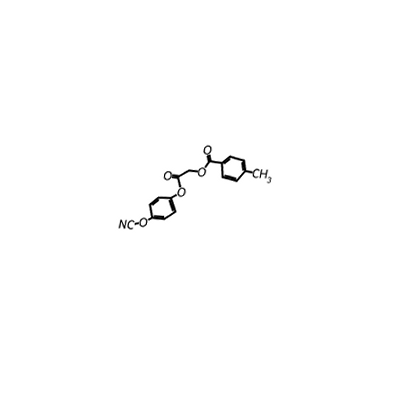 Cc1ccc(C(=O)OCC(=O)Oc2ccc(OC#N)cc2)cc1